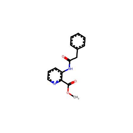 COC(=O)c1ncccc1NC(=O)Cc1ccccc1